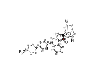 NC(=O)C12CC3C[C@H](C1)C(NC(=O)N1CCN(c4ccc(N5CCC(C(F)(F)F)CC5)cn4)c4ccccc41)[C@@H](C3)C2